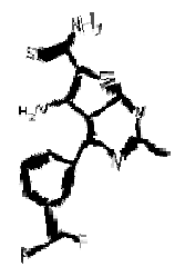 Cc1nc(-c2cccc(C(F)F)c2)c2c(N)c(C(N)=S)sc2n1